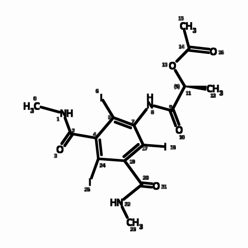 CNC(=O)c1c(I)c(NC(=O)[C@H](C)OC(C)=O)c(I)c(C(=O)NC)c1I